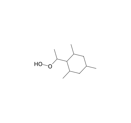 CC1CC(C)C(C(C)OO)C(C)C1